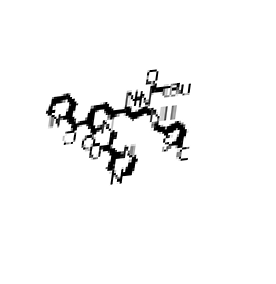 CC(C)(C)C(=O)n1nc(-c2ccc(C(=O)c3ccccn3)c(=O)n2CC(=O)c2cnccn2)cc1NCc1ccc(Cl)s1